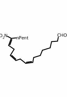 CCCCC/C(=C\C/C=C\C/C=C\CCCCCC[C]=O)[N+](=O)[O-]